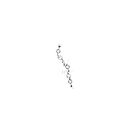 N#Cc1ccc(CN2CCC(NC(=O)c3cc4cc(C(=O)NC5CCN(c6ccc(C#N)cc6)CC5)ccc4o3)CC2)cc1